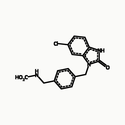 O=C(O)NCc1ccc(Cn2c(=O)[nH]c3ccc(Cl)cc32)cc1